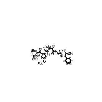 CCCCC(NC(=O)[C@@H]1C[C@@H](OC(C)(C)C)CN1C(=O)[C@@H](NC(=O)OCC(C)C)C(C)(C)C)C(=O)C(=O)NCC(=O)N[C@@H](c1ccccc1)[C@@H](C)O